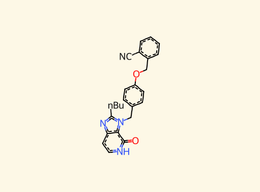 CCCCc1nc2cc[nH]c(=O)c2n1Cc1ccc(OCc2ccccc2C#N)cc1